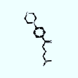 CN(C)CCCC(=O)c1ccc(N2CCOCC2)cc1